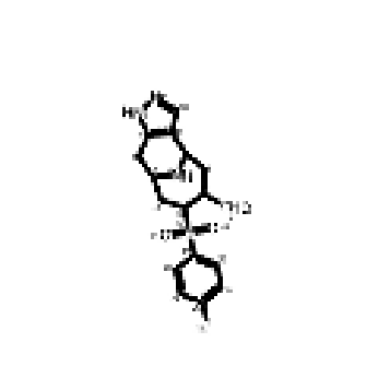 O=CC1CC2NC(Cc3[nH]ncc32)CC1S(=O)(=O)c1ccc(I)cc1